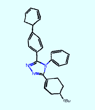 CC(C)(C)C1CC=C(c2nnc(-c3ccc(C4C=CC=CC4)cc3)n2-c2ccccc2)CC1